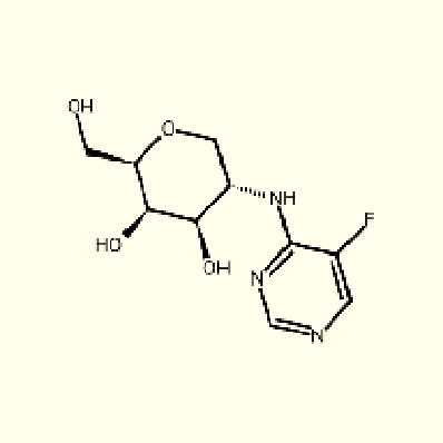 OC[C@H]1OC[C@H](Nc2ncncc2F)[C@@H](O)[C@H]1O